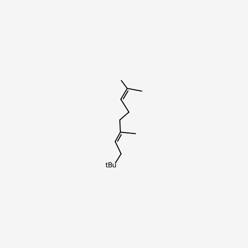 CC(C)=CCC/C(C)=C/CC(C)(C)C